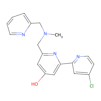 CN(Cc1ccccn1)Cc1cc(O)cc(-c2cc(Cl)ccn2)n1